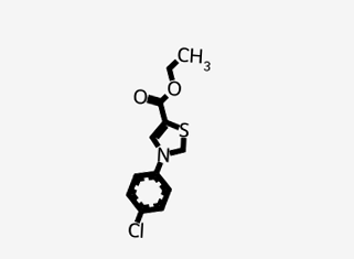 CCOC(=O)C1=CN(c2ccc(Cl)cc2)CS1